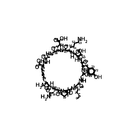 CSCC[C@@H]1NC(=O)[C@@H]2CCCN2C(=O)[C@H](CC(N)=O)NC(=O)[C@@H](N)CSSC[C@@H](C(=O)O)NC(=O)CNC(=O)[C@H](CCC(=O)O)NC(=O)[C@H](CCCCN)NC(=O)[C@H]([C@@H](C)O)NC(=O)[C@H](Cc2ccc(O)cc2)NC(=O)CNC1=O